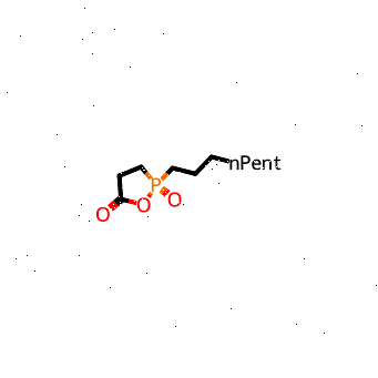 CCCCCCCCP1(=O)CCC(=O)O1